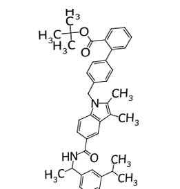 Cc1c(C)n(Cc2ccc(-c3ccccc3C(=O)OC(C)(C)C)cc2)c2ccc(C(=O)NC(C)c3cccc(C(C)C)c3)cc12